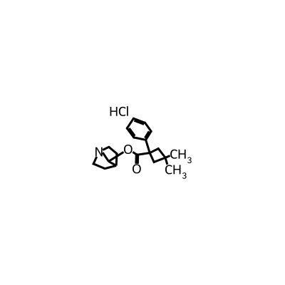 CC1(C)CC(C(=O)OC2CN3CCC2CC3)(c2ccccc2)C1.Cl